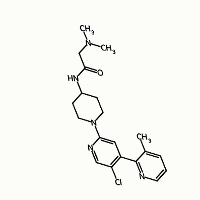 Cc1cccnc1-c1cc(N2CCC(NC(=O)CN(C)C)CC2)ncc1Cl